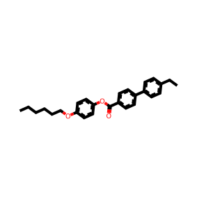 CCCCCCOc1ccc(OC(=O)c2ccc(-c3ccc(CC)cc3)cc2)cc1